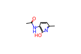 CC(=O)Nc1ccc(C)nc1O